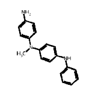 CN(c1ccc(N)cc1)c1ccc(Nc2ccccc2)cc1